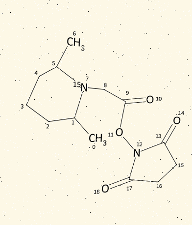 CC1CCCC(C)[15N]1CC(=O)ON1C(=O)CCC1=O